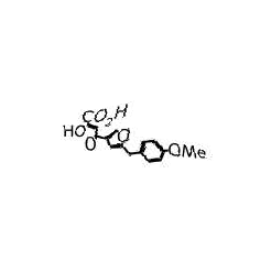 COc1ccc(Cc2cc(C(=O)C=C(O)C(=O)O)co2)cc1